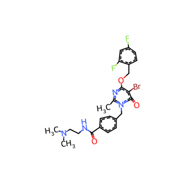 Cc1nc(OCc2ccc(F)cc2F)c(Br)c(=O)n1Cc1ccc(C(=O)NCCN(C)C)cc1